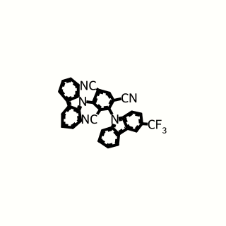 N#Cc1cc(C#N)c(-n2c3ccccc3c3cc(C(F)(F)F)ccc32)c(C#N)c1-n1c2ccccc2c2ccccc21